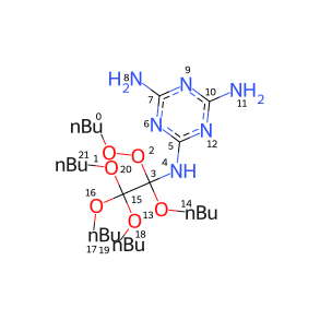 CCCCOOC(Nc1nc(N)nc(N)n1)(OCCCC)C(OCCCC)(OCCCC)OCCCC